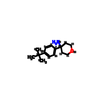 CC(C)(C)c1ccc(C2(N)CCOCC2)cc1